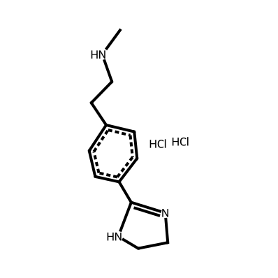 CNCCc1ccc(C2=NCCN2)cc1.Cl.Cl